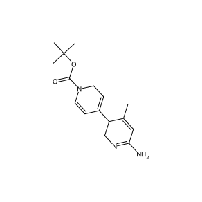 CC1=CC(N)=NCC1C1=CCN(C(=O)OC(C)(C)C)C=C1